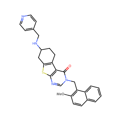 COc1ccc2ccccc2c1Cn1cnc2sc3c(c2c1=O)CCC(NCc1ccncc1)C3